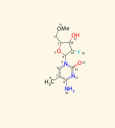 COCC1OC(n2cc(C)c(N)nc2=O)C(F)C1O